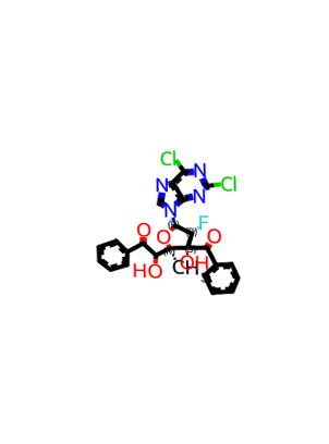 C[C@]1(C(O)C(=O)c2ccccc2)O[C@@H](n2cnc3c(Cl)nc(Cl)nc32)[C@H](F)[C@@]1(O)C(=O)c1ccccc1